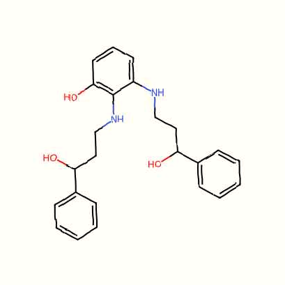 Oc1cccc(NCCC(O)c2ccccc2)c1NCCC(O)c1ccccc1